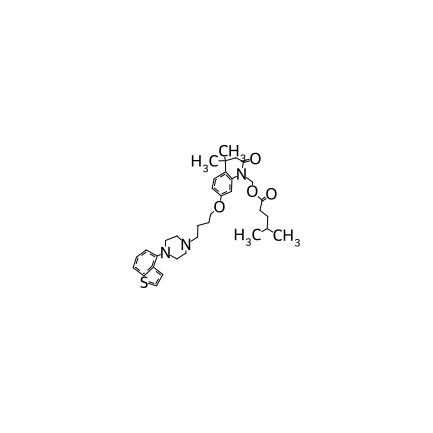 CC(C)CCC(=O)OCN1C(=O)CC(C)(C)c2ccc(OCCCCN3CCN(c4cccc5sccc45)CC3)cc21